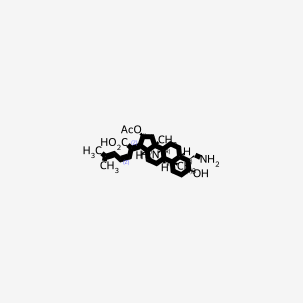 CC(=O)O[C@H]1C[C@@]2(C)[C@@H](CC[C@H]3[C@@]4(C)CC[C@@H](O)[C@@H](CN)[C@@H]4CC[C@@]32N)/C1=C(\C=C/C=C(C)C)C(=O)O